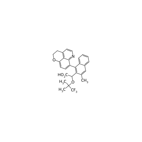 Cc1cc2ccccc2c(-c2ccc3c4c(ccnc24)CCO3)c1C(OC(C)(C)C(F)(F)F)C(=O)O